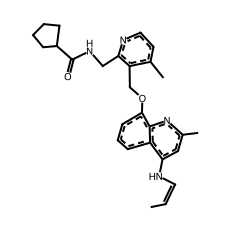 C/C=C\Nc1cc(C)nc2c(OCc3c(C)ccnc3CNC(=O)C3CCCC3)cccc12